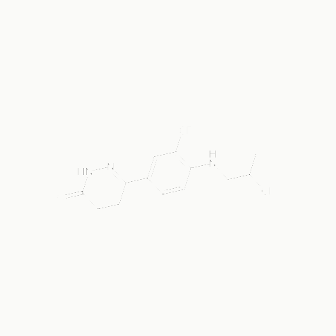 CC(CNc1ccc(C2=NNC(=O)CC2)cc1C(F)(F)F)C(F)(F)F